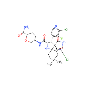 CC1(C)CCC2(CC1)N[C@@H](C(=O)N[C@@H]1CC[C@@H](C(N)=O)OC1)[C@H](c1ccnc(Cl)c1F)[C@]21C(=O)Nc2cc(Cl)ncc21